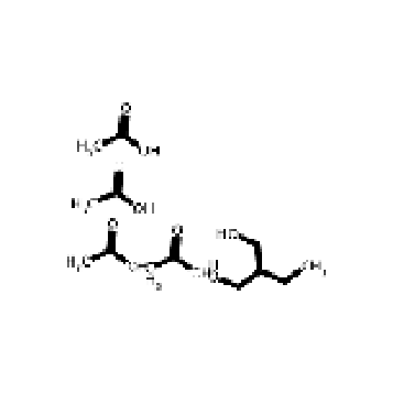 CC(=O)O.CC(=O)O.CC(=O)O.CC(=O)O.CCC(CO)CO